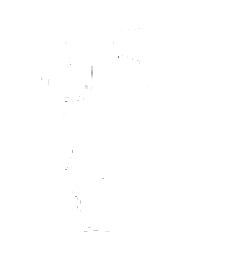 Cc1nc(CCCc2ccccc2)sc1N1CCCC1CO